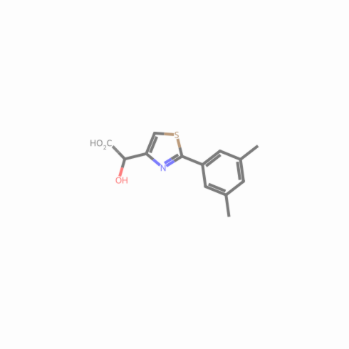 Cc1cc(C)cc(-c2nc(C(O)C(=O)O)cs2)c1